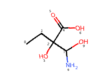 CCC(O)(C(=O)O)C(N)O